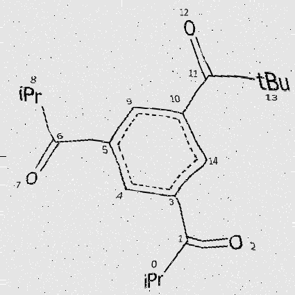 CC(C)C(=O)c1cc(C(=O)C(C)C)cc(C(=O)C(C)(C)C)c1